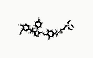 CC[N+](CC)(CC)CCCNS(=O)(=O)c1cc(F)c(CSc2ncc(C(C)(C)c3ccc(Cl)c(OC)c3)n2-c2ccc(F)cc2)c(F)c1